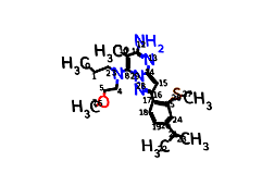 CCCN(CCOC)c1c(C)c(N)nc2cc(-c3ccc(C(C)C)cc3SC)nn12